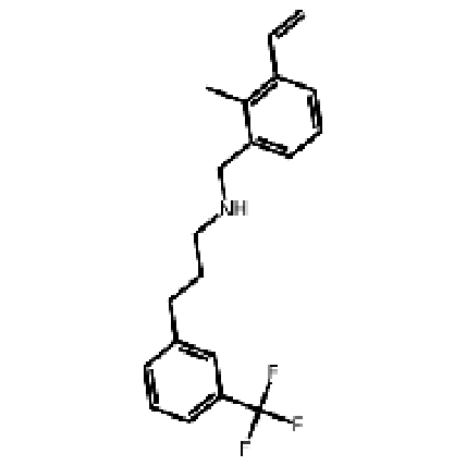 C=Cc1cccc(CNCCCc2cccc(C(F)(F)F)c2)c1C